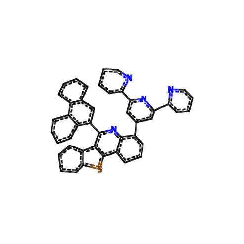 c1ccc(-c2cc(-c3cccc4c3nc(-c3cc5ccccc5c5ccccc35)c3c5ccccc5sc43)cc(-c3ccccn3)n2)nc1